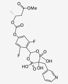 COC(=O)C[C@@H](C)OC(=O)Oc1cc(F)c(C2OP(=O)(O)C(O)(Cc3cccnc3)P(=O)(O)O2)c(F)c1